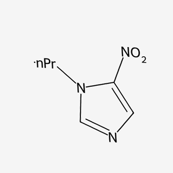 CC[CH]n1cncc1[N+](=O)[O-]